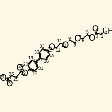 C=CC(=O)OCCOCCOCCOc1ccc(-c2ccc(OC(=O)CCC(=O)O)cc2)cc1